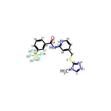 Cn1cnnc1SCc1ccnc(NC(=O)c2cccc(S(F)(F)(F)(F)F)c2)c1